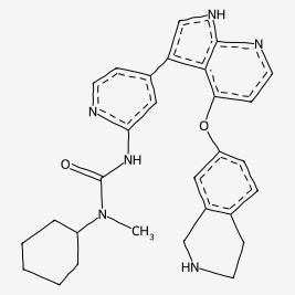 CN(C(=O)Nc1cc(-c2c[nH]c3nccc(Oc4ccc5c(c4)CNCC5)c23)ccn1)C1CCCCC1